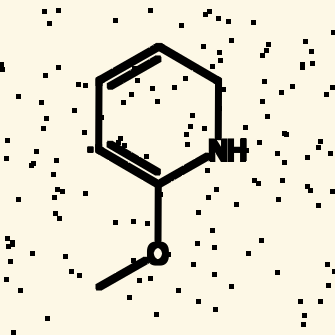 COC1=[C]C=CCN1